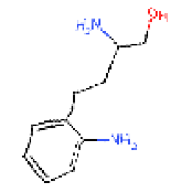 Nc1ccccc1CCC(N)CO